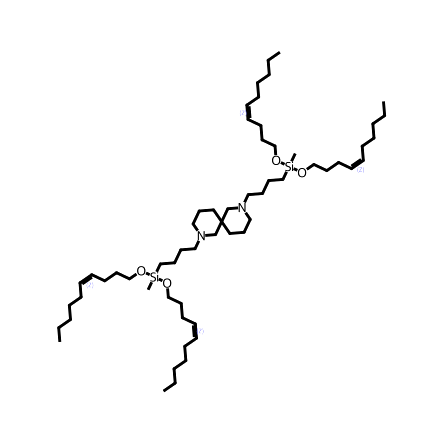 CCCCC/C=C\CCCO[Si](C)(CCCCN1CCCC2(CCCN(CCCC[Si](C)(OCCC/C=C\CCCCC)OCCC/C=C\CCCCC)C2)C1)OCCC/C=C\CCCCC